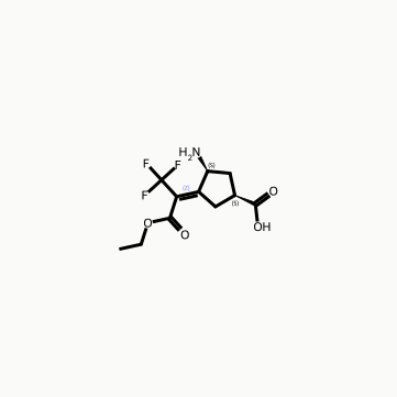 CCOC(=O)/C(=C1\C[C@H](C(=O)O)C[C@@H]1N)C(F)(F)F